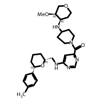 CO[C@H]1COCC[C@H]1NC1CCN(C(=O)c2cc(NC[C@H]3CCC[C@@H](c4ccc(C)cc4)O3)ncn2)CC1